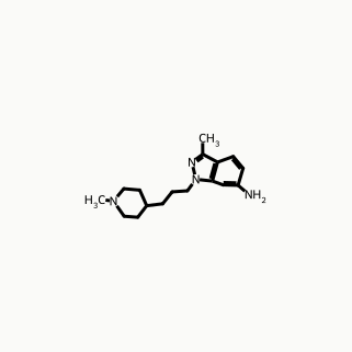 Cc1nn(CCCC2CCN(C)CC2)c2cc(N)ccc12